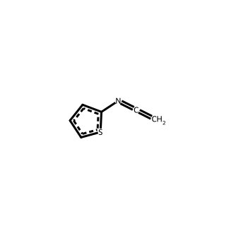 C=C=Nc1cccs1